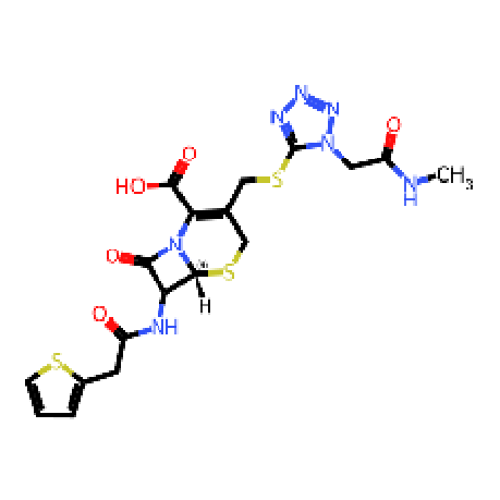 CNC(=O)Cn1nnnc1SCC1=C(C(=O)O)N2C(=O)C(NC(=O)Cc3cccs3)[C@H]2SC1